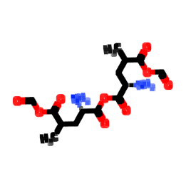 CC(C[C@H](N)C(=O)OC(=O)[C@@H](N)CC(C)C(=O)OC=O)C(=O)OC=O